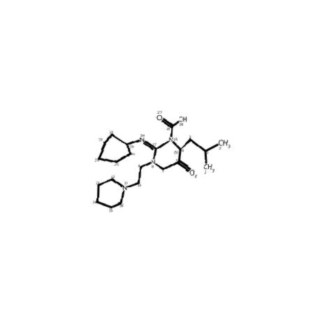 CC(C)C[C@H]1C(=O)CN(CCN2CCCCC2)C(=NC2CCCCC2)N1C(=O)O